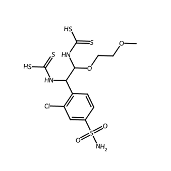 COCCOC(NC(=S)S)C(NC(=S)S)c1ccc(S(N)(=O)=O)cc1Cl